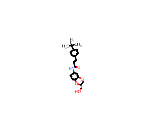 CC(C)(C)c1ccc(/C=C/C(=O)Nc2ccc3c(c2)OC[C@H](CO)O3)cc1